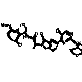 CNc1ccc(Cl)c(C(CO)NC(=O)C(C)N2Cc3ccc(-c4nc(NC5CCOCC5)ncc4Cl)cc3C2=O)n1